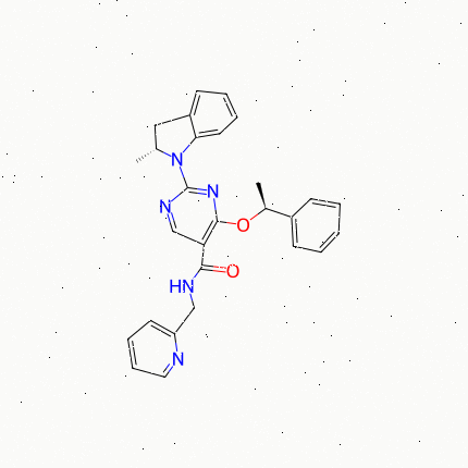 C[C@H](Oc1nc(N2c3ccccc3C[C@H]2C)ncc1C(=O)NCc1ccccn1)c1ccccc1